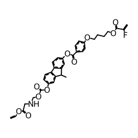 C=COC(=O)CNCOC(=O)Oc1ccc2c(c1)C(C)c1cc(OC(=O)c3ccc(OCCCCOC(=O)C(=C)F)cc3)ccc1-2